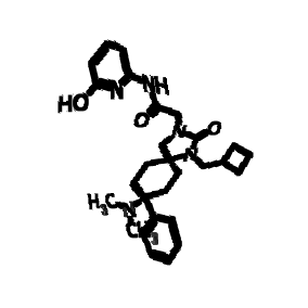 CN(C)[C@]1(c2ccccc2)CC[C@@]2(CC1)CN(CC(=O)Nc1cccc(O)n1)C(=O)N2CC1CCC1